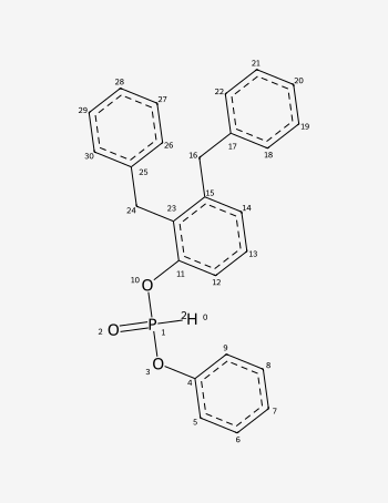 [2H]P(=O)(Oc1ccccc1)Oc1cccc(Cc2ccccc2)c1Cc1ccccc1